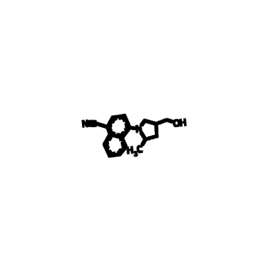 CC1CC(CO)CN1c1ccc(C#N)c2ccccc12